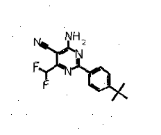 CC(C)(C)c1ccc(-c2nc(N)c(C#N)c(C(F)F)n2)cc1